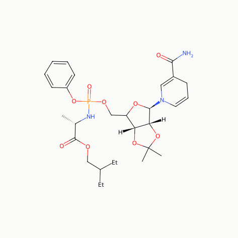 CCC(CC)COC(=O)[C@H](C)NP(=O)(OCC1O[C@@H](N2C=CCC(C(N)=O)=C2)[C@@H]2OC(C)(C)O[C@H]12)Oc1ccccc1